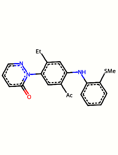 CCc1cc(Nc2ccccc2SC)c(C(C)=O)cc1-n1ncccc1=O